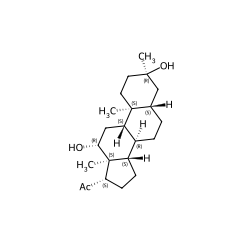 CC(=O)[C@H]1CC[C@H]2[C@@H]3CC[C@H]4C[C@](C)(O)CC[C@]4(C)[C@H]3C[C@@H](O)[C@]12C